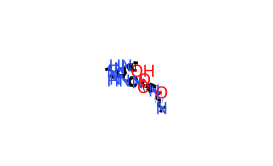 CC[C@H](CO)Nc1cc(NC2CCN(C(=O)O[C@H]3CCN(C(=O)/C=C/CN(C)C)C3)CC2)c2ncn(C(C)C)c2n1